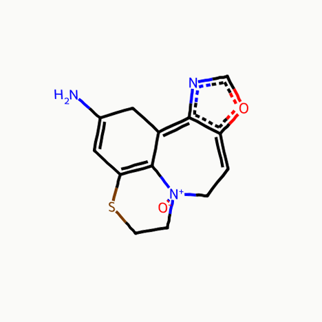 NC1=CC2=C3C(=c4ncoc4=CC[N+]3([O-])CCS2)C1